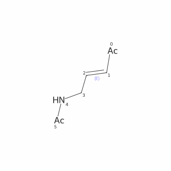 CC(=O)/C=C/CNC(C)=O